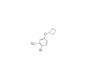 N#Cc1cc(OC2CCC2)ccc1Br